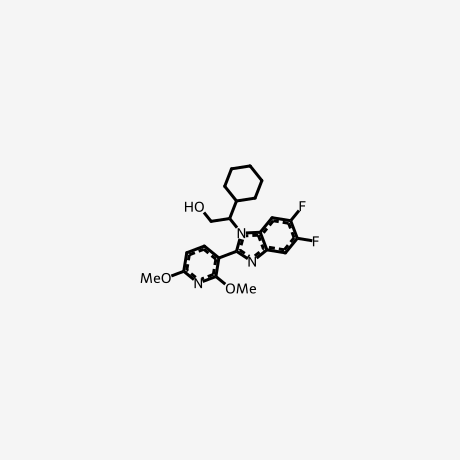 COc1ccc(-c2nc3cc(F)c(F)cc3n2C(CO)C2CCCCC2)c(OC)n1